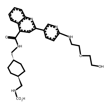 O=C(O)NC[C@H]1CC[C@H](CNC(=O)c2cc(-c3ccc(NCCOCCO)nc3)nc3ccccc23)CC1